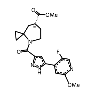 COC(=O)[C@@H]1CCN(C(=O)c2cc(-c3cc(OC)ncc3F)[nH]n2)C2(CC2)C1